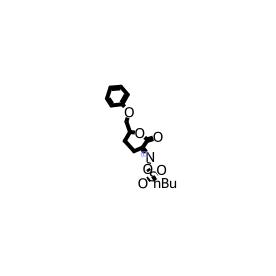 CCCCS(=O)(=O)O/N=C1\CCC(COc2ccccc2)OC1=O